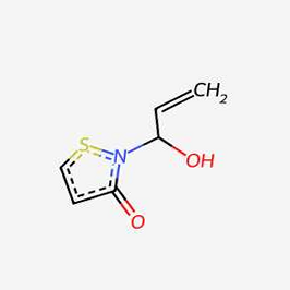 C=CC(O)n1sccc1=O